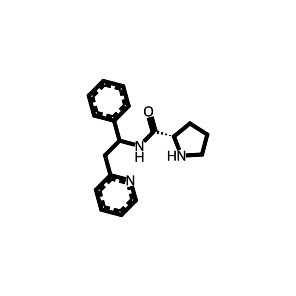 O=C(NC(Cc1ccccn1)c1ccccc1)[C@@H]1CCCN1